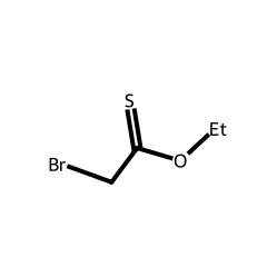 CCOC(=S)CBr